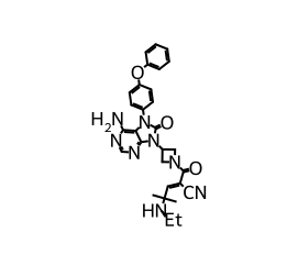 CCNC(C)(C)C=C(C#N)C(=O)N1CC(n2c(=O)n(-c3ccc(Oc4ccccc4)cc3)c3c(N)ncnc32)C1